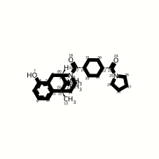 CC1(C)[C@H]2Cc3c(O)cccc3[C@]1(C)CCN2C(=O)[C@H]1CC[C@@H](C(=O)N2CCCC2)CC1